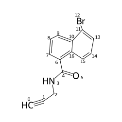 C#CCNC(=O)c1cccc2c(Br)cccc12